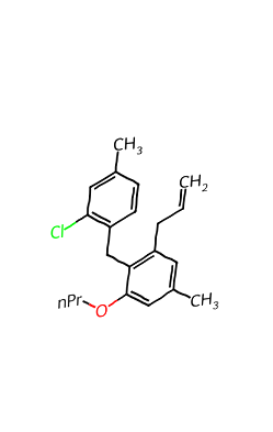 C=CCc1cc(C)cc(OCCC)c1Cc1ccc(C)cc1Cl